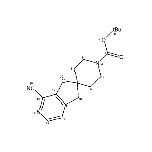 CC(C)(C)OC(=O)N1CCC2(CC1)Cc1ccnc(C#N)c1O2